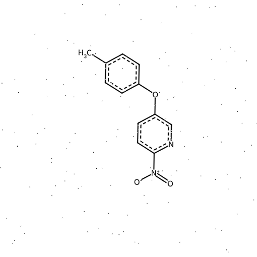 Cc1ccc(Oc2ccc([N+](=O)[O-])nc2)cc1